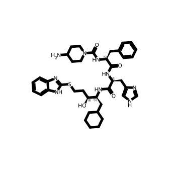 NC1CCN(C(=O)N[C@@H](Cc2ccccc2)C(=O)N[C@@H](Cc2c[nH]cn2)C(=O)N[C@@H](CC2CCCCC2)[C@@H](O)CCSc2nc3ccccc3[nH]2)CC1